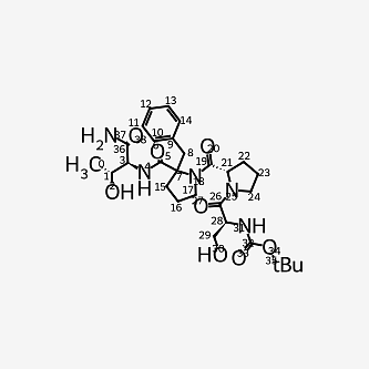 C[C@@H](O)[C@H](NC(=O)C1(Cc2ccccc2)CCCN1C(=O)[C@@H]1CCCN1C(=O)[C@H](CO)NC(=O)OC(C)(C)C)C(N)=O